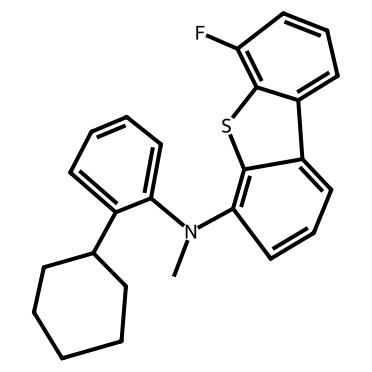 CN(c1ccccc1C1CCCCC1)c1cccc2c1sc1c(F)cccc12